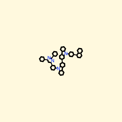 c1ccc(-c2cc(-c3cccc(-n4c5ccccc5c5ccc(-c6ccc7c8ccccc8n(-c8ccc(-c9cccc%10ccccc9%10)cc8)c7c6)cc54)c3)nc(-c3ccccc3)n2)cc1